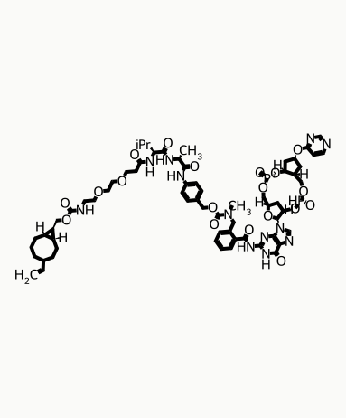 C=CC1CCC[C@@H]2[C@H](CC1)[C@@H]2COC(=O)NCCOCCOCCC(=O)N[C@H](C(=O)N[C@@H](C)C(=O)Nc1ccc(COC(=O)N(C)Cc2ccccc2C(=O)Nc2nc3c(ncn3[C@@H]3O[C@@H]4CO[P+](=O)O[C@H]5C[C@H](Oc6ccncn6)C[C@@H]5CO[PH](=O)O[C@@H]3C4)c(=O)[nH]2)cc1)C(C)C